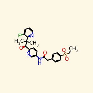 CCS(=O)(=O)c1ccc(CC(=O)Nc2ccc(C(=O)C(C)(C)c3ncccc3F)nc2)cc1